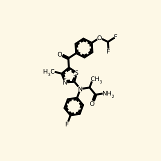 Cc1nc(N(c2ccc(F)cc2)C(C)C(N)=O)sc1C(=O)c1ccc(OC(F)F)cc1